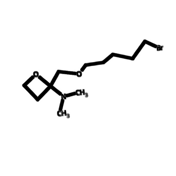 CN(C)C1(COCCCCCBr)CCO1